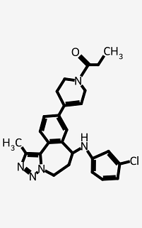 CCC(=O)N1CC=C(c2ccc3c(c2)C(Nc2cccc(Cl)c2)CCn2nnc(C)c2-3)CC1